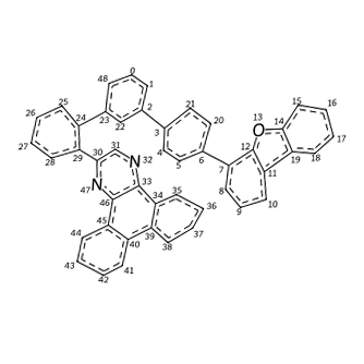 c1cc(-c2ccc(-c3cccc4c3oc3ccccc34)cc2)cc(-c2ccccc2-c2cnc3c4ccccc4c4ccccc4c3n2)c1